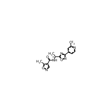 Cc1oncc1C(=O)N[C@@H](C)c1nc(-c2ccnc(C(F)(F)F)c2)no1